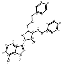 Cn1cc([C@@H]2O[C@H](COCc3ccccc3)[C@@H](OCc3ccccc3)[C@H]2F)c2ncnc(Cl)c21